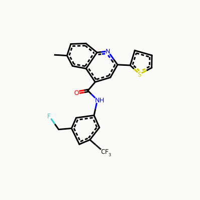 Cc1ccc2nc(-c3cccs3)cc(C(=O)Nc3cc(CF)cc(C(F)(F)F)c3)c2c1